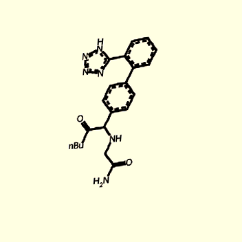 CCCCC(=O)C(NCC(N)=O)c1ccc(-c2ccccc2-c2nnn[nH]2)cc1